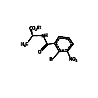 CCOC(=O)[C@H](C)NC(=O)c1cccc([N+](=O)[O-])c1Br